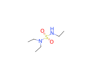 CCNS(=O)(=O)N(CC)CC